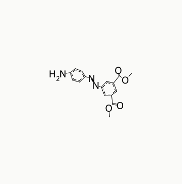 COC(=O)c1cc(N=Nc2ccc(N)cc2)cc(C(=O)OC)c1